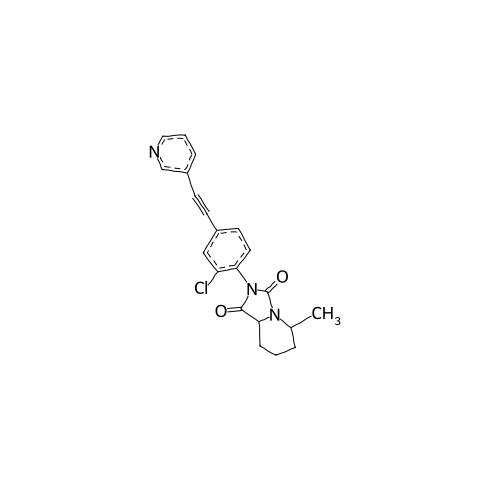 CC1CCCC2C(=O)N(c3ccc(C#Cc4cccnc4)cc3Cl)C(=O)N12